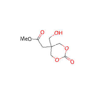 COC(=O)CC1(CO)COC(=O)OC1